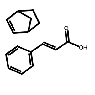 C1=CC2CCC1C2.O=C(O)C=Cc1ccccc1